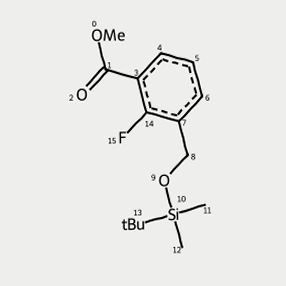 COC(=O)c1cccc(CO[Si](C)(C)C(C)(C)C)c1F